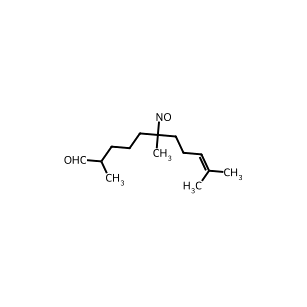 CC(C)=CCCC(C)(CCCC(C)C=O)N=O